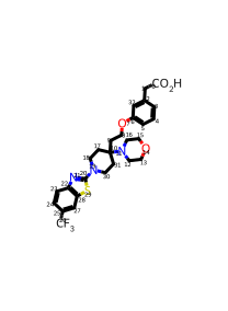 O=C(O)Cc1cccc(OCCC2(N3CCOCC3)CCN(c3nc4ccc(C(F)(F)F)cc4s3)CC2)c1